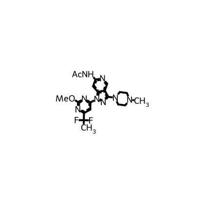 COc1nc(-n2nc(N3CCN(C)CC3)c3cnc(NC(C)=O)cc32)cc(C(C)(F)F)n1